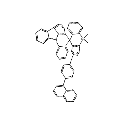 C[Si]1(C)c2ccccc2C2(c3ccccc3-n3c4ccccc4c4cccc2c43)c2cc(-c3ccc(-c4cccc5cccnc45)cc3)ccc21